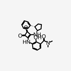 CN(C)C(=O)c1cccc(Nc2c(N[C@@H]3CCC[C@H]3c3ccccc3)c(=O)c2=O)c1O